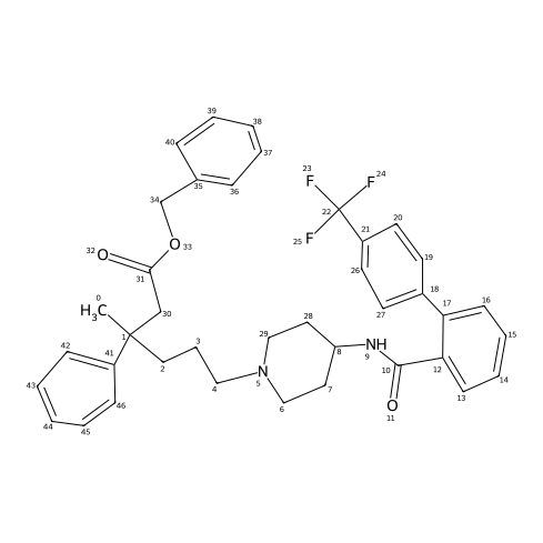 CC(CCCN1CCC(NC(=O)c2ccccc2-c2ccc(C(F)(F)F)cc2)CC1)(CC(=O)OCc1ccccc1)c1ccccc1